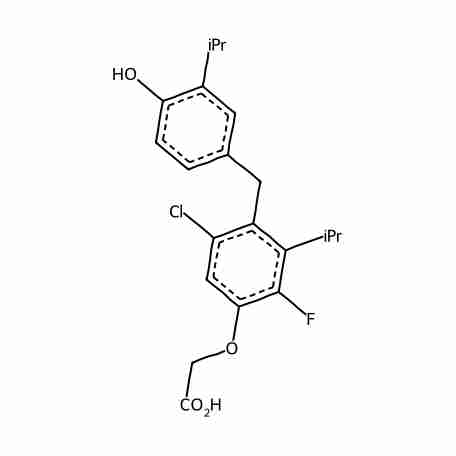 CC(C)c1cc(Cc2c(Cl)cc(OCC(=O)O)c(F)c2C(C)C)ccc1O